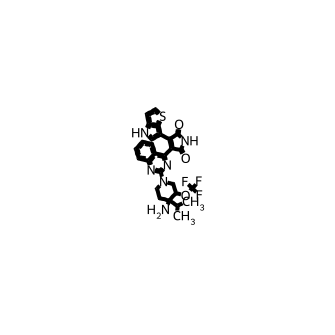 CC(C)C1(N)CCN(c2nc(C3=C(c4c[nH]c5ccsc45)C(=O)NC3=O)c3ccccc3n2)CC1OC(F)(F)F